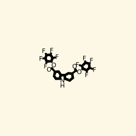 O=C(Oc1c(F)c(F)c(F)c(F)c1F)c1ccc2[nH]c3ccc(C(=O)Oc4c(F)c(F)c(F)c(F)c4F)cc3c2c1